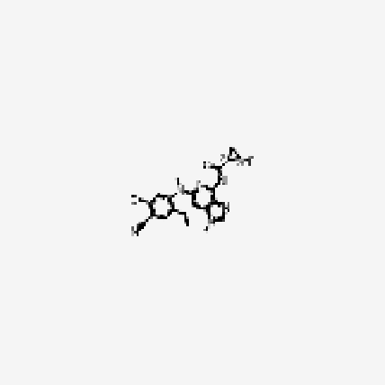 CCc1cc(C#N)c(Cl)cc1N(C)c1cc2c(ncn2C)c(NC(=O)[C@H]2C[C@H]2F)n1